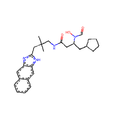 CC(C)(CNC(=O)CC(CC1CCCC1)N(O)C=O)Cc1nc2cc3ccccc3cc2[nH]1